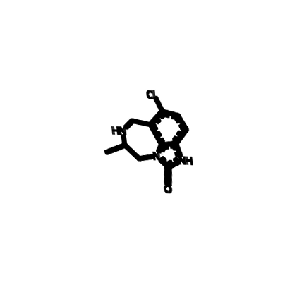 CC1Cn2c(=O)[nH]c3ccc(Cl)c(c32)CN1